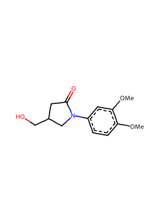 COc1ccc(N2CC(CO)CC2=O)cc1OC